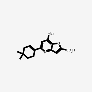 CC1(C)CC=C(c2cc(C(C)(C)C)c3oc(C(=O)O)cc3n2)CC1